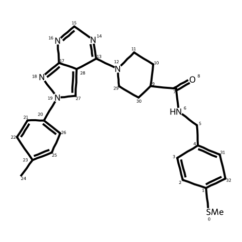 CSc1ccc(CNC(=O)C2CCN(c3ncnc4nn(-c5ccc(C)cc5)cc34)CC2)cc1